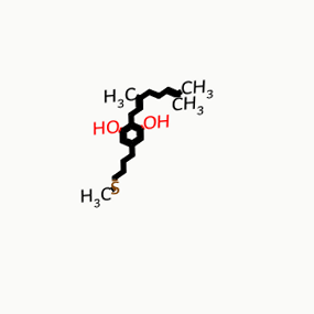 CSCCCCc1cc(O)c(C/C=C(\C)CCC=C(C)C)c(O)c1